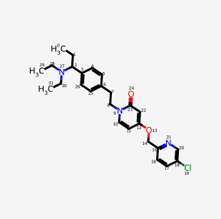 CCC(c1ccc(CCn2ccc(OCc3ccc(Cl)cn3)cc2=O)cc1)N(CC)CC